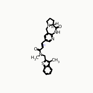 Cc1c(CN(C)C(=O)/C=C/c2cnc3c(c2)CN2CCC[C@@H]2C(=O)N3)sc2ccccc12